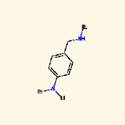 CCNCc1ccc(N(CC)CC)cc1